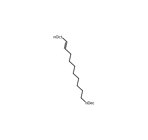 CCCCCCCCC=CCCCCCCCCCCCCCCCCCC